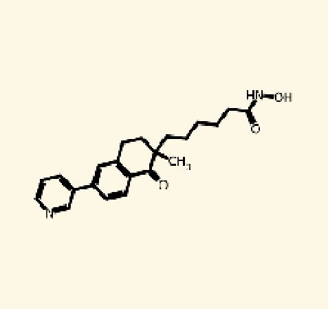 CC1(CCCCCC(=O)NO)CCc2cc(-c3cccnc3)ccc2C1=O